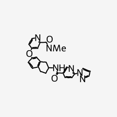 CNC(=O)c1cc(Oc2ccc3c(c2)CC(NC(=O)c2ccc(-n4cccn4)nc2)CC3)ccn1